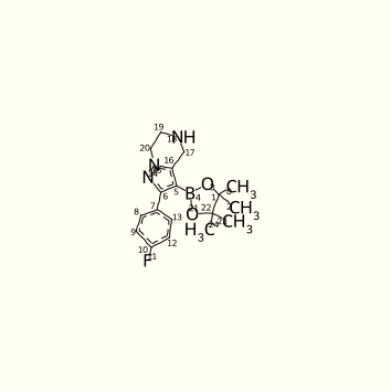 CC1(C)OB(c2c(-c3ccc(F)cc3)nn3c2CNCC3)OC1(C)C